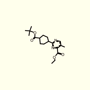 CCOC(=O)c1nc(C2CCC(C(=O)OC(C)(C)C)CC2)ncc1C